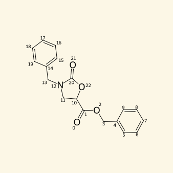 O=C(OCc1ccccc1)C1CN(Cc2ccccc2)C(=O)O1